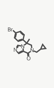 CC1(c2ccc(Br)cc2)CN(CC2CC2)C(=O)c2cncn21